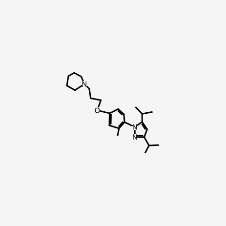 Cc1cc(OCCCN2CCCCC2)ccc1-n1nc(C(C)C)cc1C(C)C